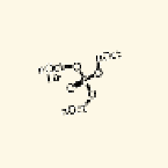 CCCCCCCCOP(=O)(OCCCCCCCC)OCCCCCCCC.[La]